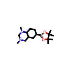 CN1CC2CC(B3OC(C)(C)C(C)(C)O3)CCC2N(C)C1